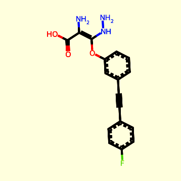 NN/C(Oc1cccc(C#Cc2ccc(F)cc2)c1)=C(\N)C(=O)O